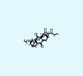 CCNC1Nc2c3cc4c(c2NC3NCC)C(=O)c2ccc1cc2C4=O